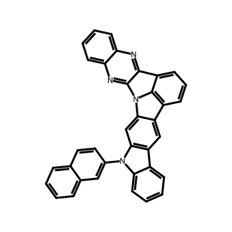 c1ccc2cc(-n3c4ccccc4c4cc5c6cccc7c8nc9ccccc9nc8n(c5cc43)c67)ccc2c1